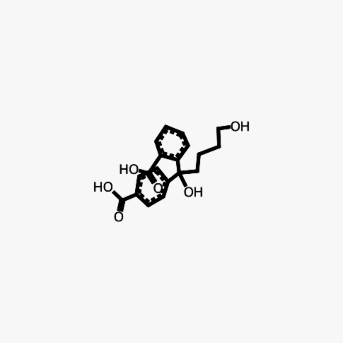 O=C(O)c1ccc(C(O)(CCCCO)c2ccccc2C(=O)O)cc1